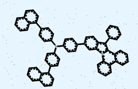 c1ccc(-c2c3ccc(-c4ccc(N(c5ccc(-c6cccc7ccccc67)cc5)c5ccc(-c6cccc7ccccc67)cc5)cc4)cc3n3c4ccccc4c4ccccc4c23)cc1